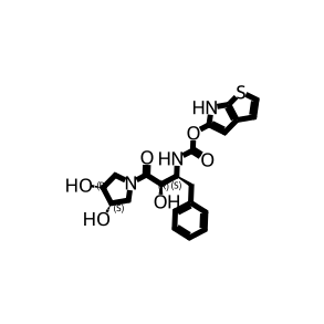 O=C(N[C@@H](Cc1ccccc1)[C@@H](O)C(=O)N1C[C@@H](O)[C@@H](O)C1)Oc1cc2ccsc2[nH]1